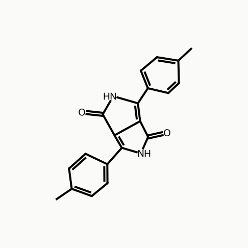 Cc1ccc(C2=C3C(=O)NC(c4ccc(C)cc4)=C3C(=O)N2)cc1